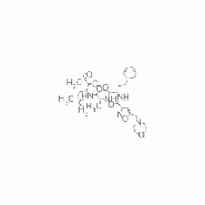 CC(C)C[C@H](NC(=O)[C@H](C)NC(=O)[C@H](CCc1ccccc1)NC(=O)c1cc(CN2CCOCC2)on1)C(=O)[C@@]1(C)CO1